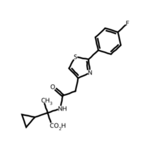 CC(NC(=O)Cc1csc(-c2ccc(F)cc2)n1)(C(=O)O)C1CC1